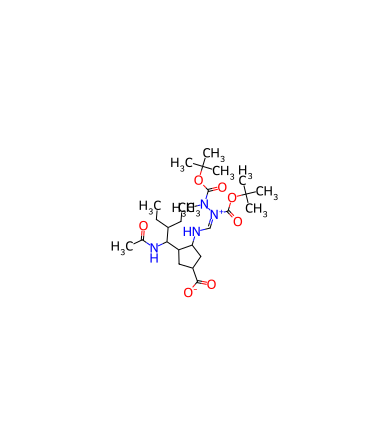 CCC(CC)C(NC(C)=O)C1CC(C(=O)[O-])CC1NC=[N+](C(=O)OC(C)(C)C)N(C)C(=O)OC(C)(C)C